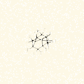 FC(F)(F)C(F)(F)C1(C(F)(F)F)C2(F)C(F)(F)C3(F)C(F)(F)C(F)(C2(F)F)C(F)(F)C1(C(F)(F)F)C3(F)F